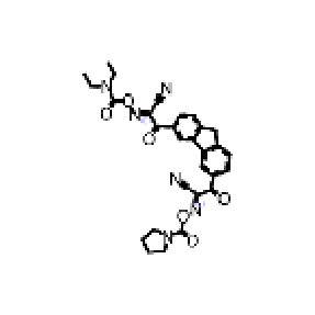 CCN(CC)C(=O)O/N=C(\C#N)C(=O)c1ccc2c(c1)-c1cc(C(=O)/C(C#N)=N/OC(=O)N3CCCC3)ccc1C2